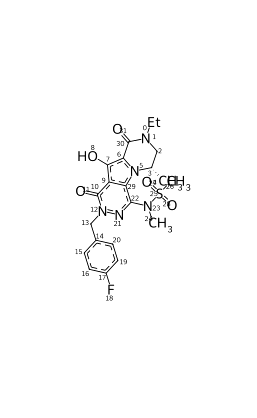 CCN1C[C@H](C)n2c(c(O)c3c(=O)n(Cc4ccc(F)cc4)nc(N(C)S(C)(=O)=O)c32)C1=O